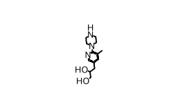 Cc1cc(CC(O)CO)cnc1N1CCNCC1